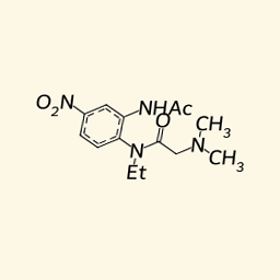 CCN(C(=O)CN(C)C)c1ccc([N+](=O)[O-])cc1NC(C)=O